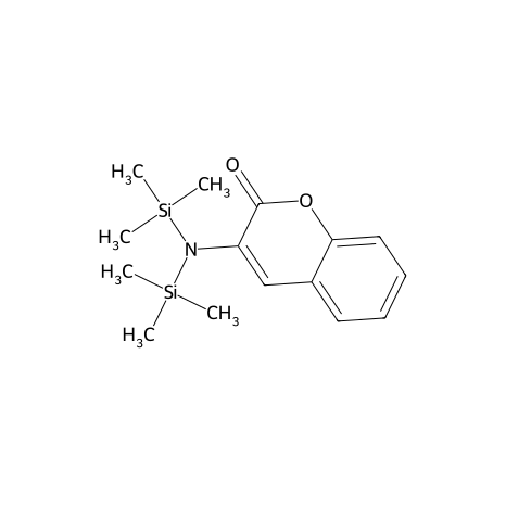 C[Si](C)(C)N(c1cc2ccccc2oc1=O)[Si](C)(C)C